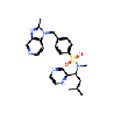 Cc1nc2cnccc2n1Cc1ccc(S(=O)(=O)N(C)C(CC(C)C)c2cnccn2)cc1